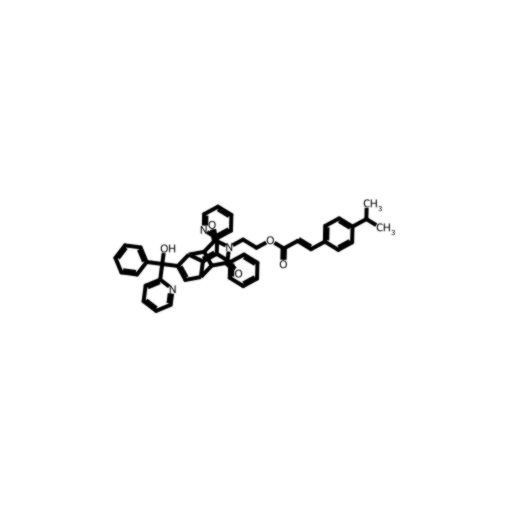 CC(C)c1ccc(C=CC(=O)OCCN2C(=O)C3C4C=C(C(O)(c5ccccc5)c5ccccn5)C(C4=C(c4ccccc4)c4ccccn4)C3C2=O)cc1